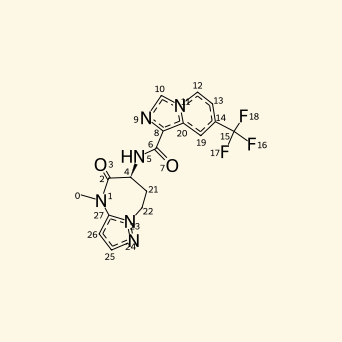 CN1C(=O)[C@@H](NC(=O)c2ncn3ccc(C(F)(F)F)cc23)CCn2nccc21